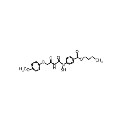 CCCCOC(=O)c1ccc(N(S)C(=O)NC(=O)COc2ccc(OC)cc2)cc1